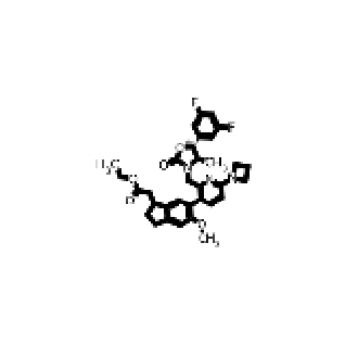 CCOC(=O)CC1CCc2cc(OC)c(-c3ccc(N4CCC4)nc3CN3C(=O)O[C@H](c4cc(F)cc(F)c4)C3C)cc21